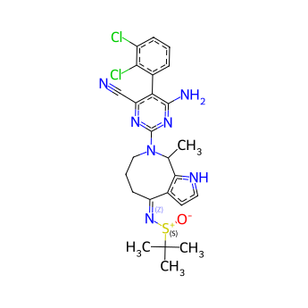 CC1c2[nH]ccc2/C(=N\[S@+]([O-])C(C)(C)C)CCCN1c1nc(N)c(-c2cccc(Cl)c2Cl)c(C#N)n1